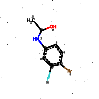 CC(O)Nc1ccc(Br)c(F)c1